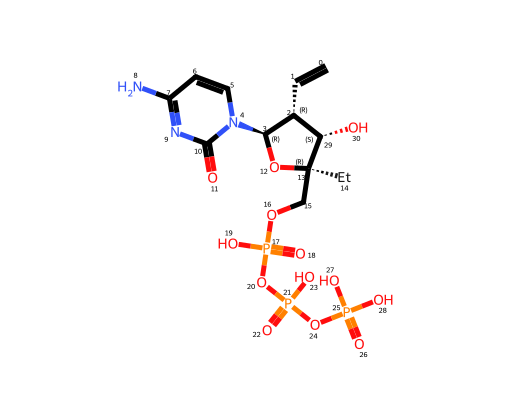 C=C[C@H]1[C@H](n2ccc(N)nc2=O)O[C@](CC)(COP(=O)(O)OP(=O)(O)OP(=O)(O)O)[C@H]1O